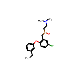 CN(C)CC[S+]([O-])Cc1cc(Br)ccc1Oc1cccc(CC(=O)O)c1